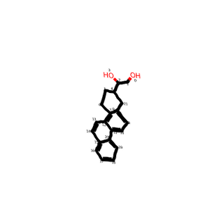 OCC(O)C1CCc2c(ccc3c2ccc2ccccc23)C1